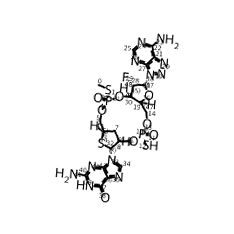 CS[P@]1(=O)OC[C@@H]2C[C@@H](O[P@](=O)(S)OC[C@H]3O[C@@H](n4nnc5c(N)ncnc54)[C@@H](F)[C@@H]3O1)[C@H](n1cnc3c(=O)[nH]c(N)nc31)S2